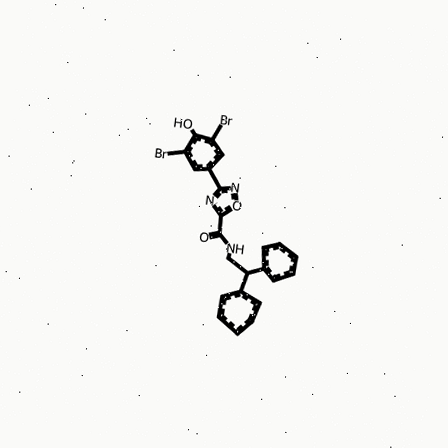 O=C(NCC(c1ccccc1)c1ccccc1)c1nc(-c2cc(Br)c(O)c(Br)c2)no1